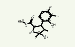 CC1C(c2ccc(F)c(F)c2O)C(C(=O)OC(C)(C)C)OC1(C)C(F)(F)F